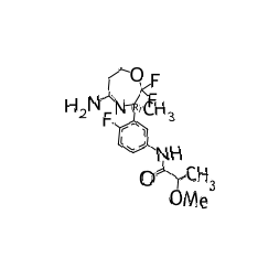 COC(C)C(=O)Nc1ccc(F)c([C@@]2(C)N=C(N)CCOC2(F)F)c1